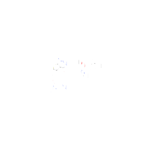 CN(C(=O)OC(C)(C)C)[C@H]1CC[C@H](Oc2ncnc3sc4c(c23)[C@@H](C[C@@H](C#N)C(N)=O)CC4)CC1